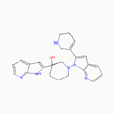 OC1(c2cc3cccnc3[nH]2)CCCN(n2c(C3=CCCNC3)cc3cccnc32)C1